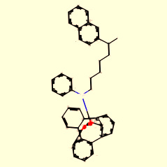 CC(CCCCCN(c1ccccc1)c1ccc2c(c1)-c1c3cccc1C1C=CC=CC1c1c-2cccc1-3)c1ccc2ccccc2c1